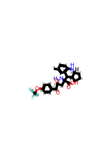 Cc1ccc2c(c1)C(C(N)(CC(=O)C(=O)c1ccc(OC(F)(F)F)cc1)C(=O)O)[C@H]1CCC[C@H]1N2